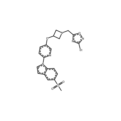 CCc1noc(CN2CC(Oc3ccc(-n4ccc5cc(S(C)(=O)=O)ccc54)nc3)C2)n1